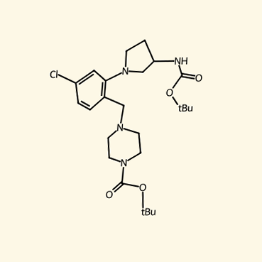 CC(C)(C)OC(=O)NC1CCN(c2cc(Cl)ccc2CN2CCN(C(=O)OC(C)(C)C)CC2)C1